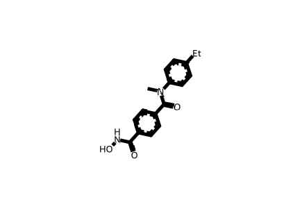 CCc1ccc(N(C)C(=O)c2ccc(C(=O)NO)cc2)cc1